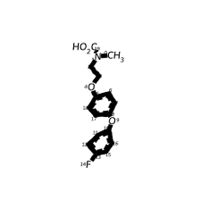 CN(CCOc1ccc(Oc2ccc(F)cc2)cc1)C(=O)O